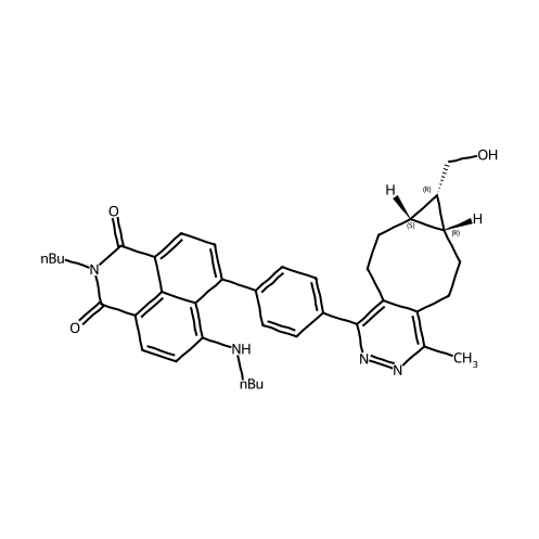 CCCCNc1ccc2c3c(ccc(-c4ccc(-c5nnc(C)c6c5CC[C@@H]5[C@H](CO)[C@@H]5CC6)cc4)c13)C(=O)N(CCCC)C2=O